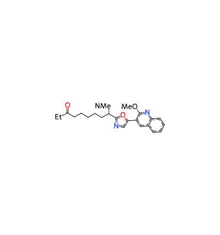 CCC(=O)CCCCCC(NC)c1ncc(-c2cc3ccccc3nc2OC)o1